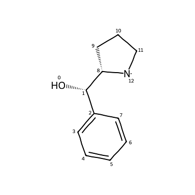 O[C@@H](c1ccccc1)[C@@H]1CCC[N]1